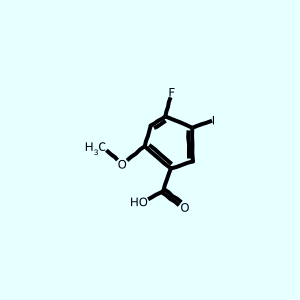 COc1cc(F)c(I)cc1C(=O)O